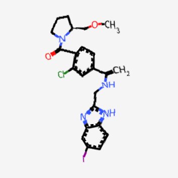 C=C(NCc1nc2cc(I)ccc2[nH]1)c1ccc(C(=O)N2CCC[C@H]2COC)c(Cl)c1